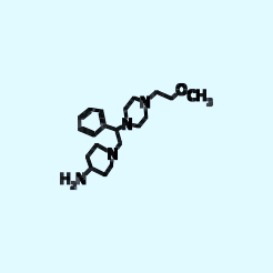 COCCN1CCN(C(CN2CCC(N)CC2)c2ccccc2)CC1